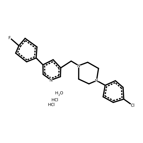 Cl.Cl.Fc1ccc(-c2cncc(CN3CCN(c4ccc(Cl)cc4)CC3)c2)cc1.O